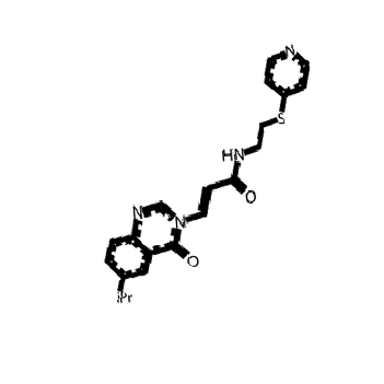 CC(C)c1ccc2ncn(/C=C/C(=O)NCCSc3ccncc3)c(=O)c2c1